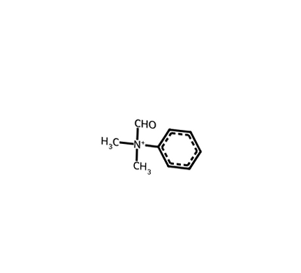 C[N+](C)(C=O)c1ccccc1